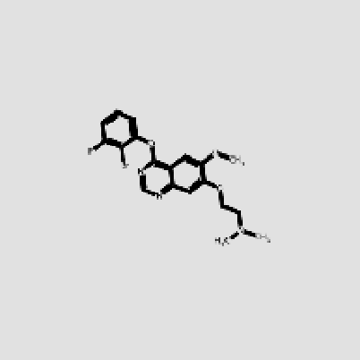 COc1cc2c(Oc3cccc(F)c3Br)ncnc2cc1OCCN(C)C